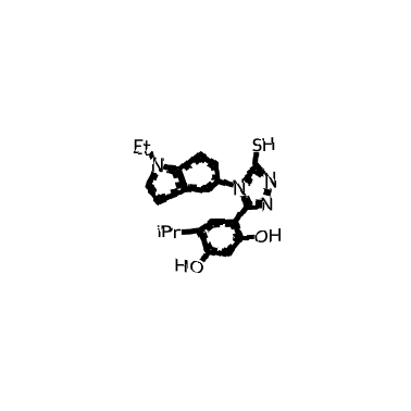 CCn1ccc2cc(-n3c(S)nnc3-c3cc(C(C)C)c(O)cc3O)ccc21